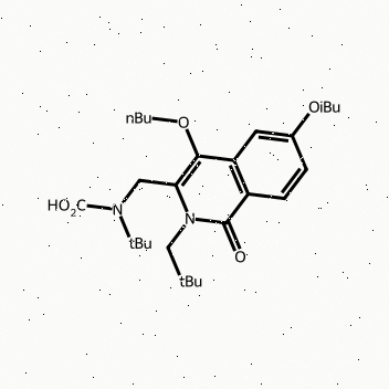 CCCCOc1c(CN(C(=O)O)C(C)(C)C)n(CC(C)(C)C)c(=O)c2ccc(OCC(C)C)cc12